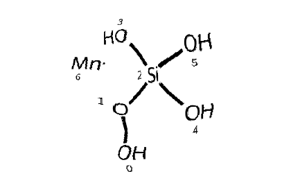 OO[Si](O)(O)O.[Mn]